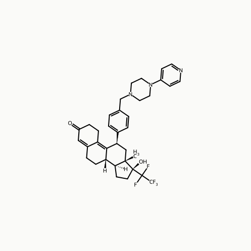 C[C@]12C[C@H](c3ccc(CN4CCN(c5ccncc5)CC4)cc3)C3=C4CCC(=O)C=C4CC[C@H]3[C@@H]1CC[C@@]2(O)C(F)(F)C(F)(F)F